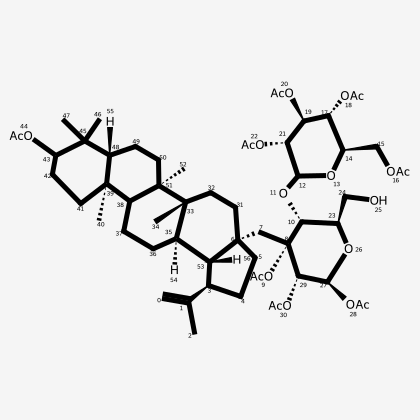 C=C(C)[C@@H]1CC[C@]2(C[C@@]3(OC(C)=O)[C@H](OC4O[C@H](COC(C)=O)[C@@H](OC(C)=O)[C@H](OC(C)=O)[C@H]4OC(C)=O)[C@@H](CO)O[C@@H](OC(C)=O)[C@@H]3OC(C)=O)CC[C@]3(C)[C@H](CCC4[C@@]5(C)CCC(OC(C)=O)C(C)(C)[C@@H]5CC[C@]43C)[C@@H]12